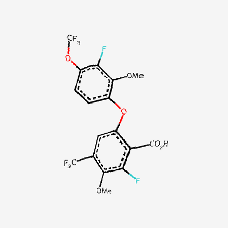 COc1c(Oc2cc(C(F)(F)F)c(OC)c(F)c2C(=O)O)ccc(OC(F)(F)F)c1F